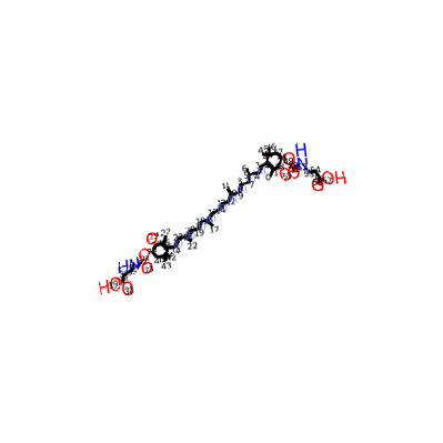 CC1=C(/C=C/C(C)=C/C=C/C(C)=C/C=C/C=C(C)/C=C/C=C(C)/C=C/C2=C(C)C(=O)C(OC(=O)NCCC(=O)O)CC2(C)C)C(C)(C)CC(OC(=O)NCCC(=O)O)C1=O